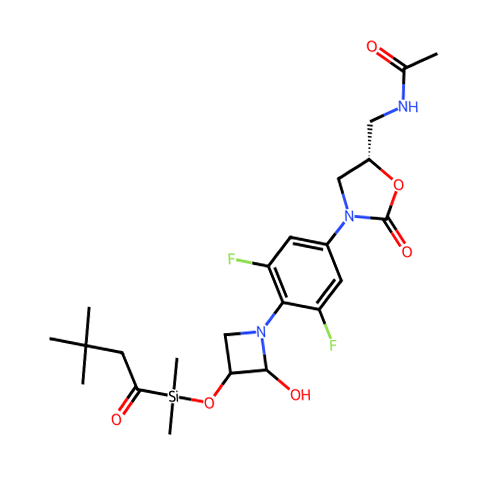 CC(=O)NC[C@H]1CN(c2cc(F)c(N3CC(O[Si](C)(C)C(=O)CC(C)(C)C)C3O)c(F)c2)C(=O)O1